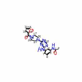 CC(=O)Nc1cccc(Nc2ncnc(N3CCN(C(=O)c4ccco4)CC3)n2)c1